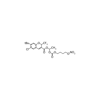 CC(OC(=O)OCCCCO[N+](=O)[O-])OC(=O)C1=Cc2cc(Cl)c(C(C)(C)C)cc2OC1C(F)(F)F